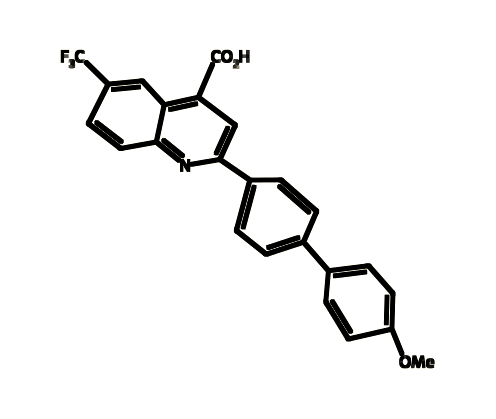 COc1ccc(-c2ccc(-c3cc(C(=O)O)c4cc(C(F)(F)F)ccc4n3)cc2)cc1